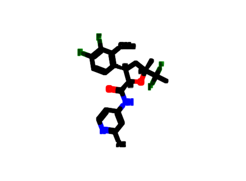 COc1c([C@@H]2C[C@](C)(C(C)(F)F)O[C@H]2C(=O)Nc2ccnc(C(C)=O)c2)ccc(F)c1F